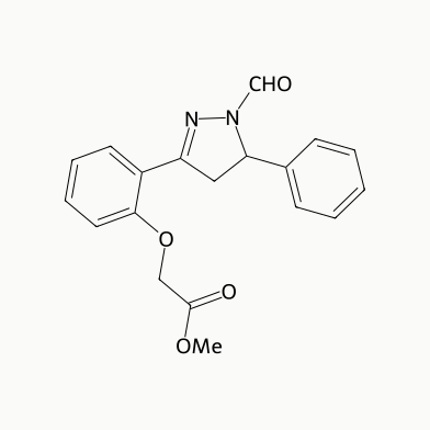 COC(=O)COc1ccccc1C1=NN(C=O)C(c2ccccc2)C1